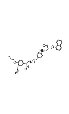 CCCCOc1ccc(C(CNCCc2ccc(NCC(COc3cccc4ccccc34)N=O)cc2)N=O)cc1CN=O